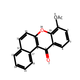 CC(=O)Oc1cccc2c(=O)c3c(ccc4ccccc43)oc12